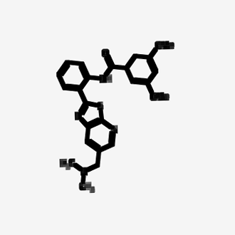 COC1=CC(C(=O)Nc2ccccc2-c2nc3cc(CN(C)C)cnc3s2)CC(OC)=C1